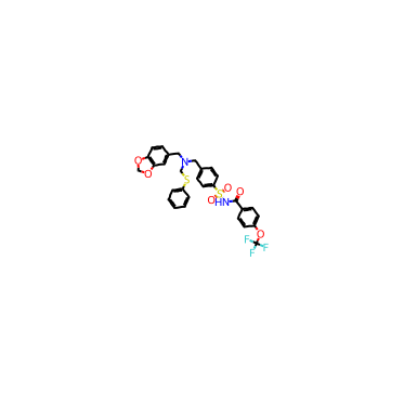 O=C(NS(=O)(=O)c1ccc(CN(CSc2ccccc2)Cc2ccc3c(c2)OCO3)cc1)c1ccc(OC(F)(F)F)cc1